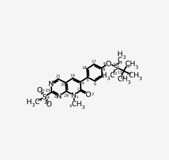 Cn1c(=O)c(-c2ccc(O[Si](C)(C)C(C)(C)C)cc2)cc2cnc(S(C)(=O)=O)nc21